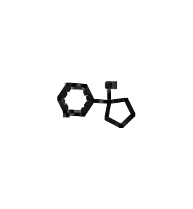 OC1(c2c[c]cnc2)CCCC1